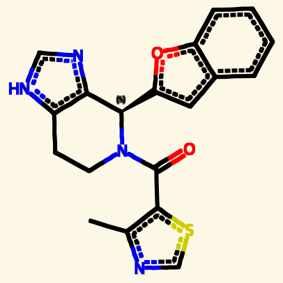 Cc1ncsc1C(=O)N1CCc2[nH]cnc2[C@H]1c1cc2ccccc2o1